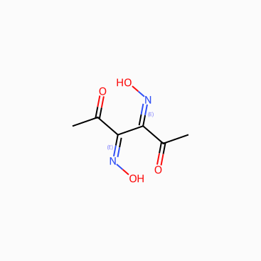 CC(=O)C(=N/O)/C(=N\O)C(C)=O